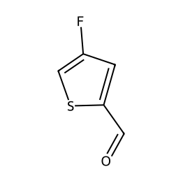 O=Cc1cc(F)cs1